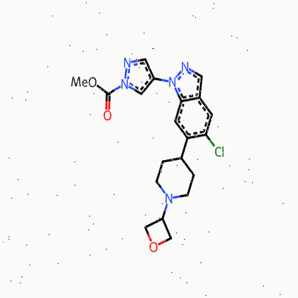 COC(=O)n1cc(-n2ncc3cc(Cl)c(C4CCN(C5COC5)CC4)cc32)cn1